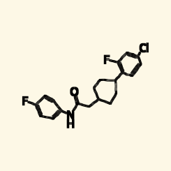 O=C(CC1CCC(c2ccc(Cl)cc2F)CC1)Nc1ccc(F)cc1